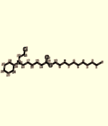 CCCCCCCCCCCOC(=O)CCCCCN(CCCl)C1CCCCC1